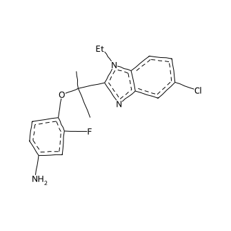 CCn1c(C(C)(C)Oc2ccc(N)cc2F)nc2cc(Cl)ccc21